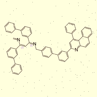 C=N/C(=C\C(=N/Cc1ccc(-c2cccc(-c3cc(-c4ccccc4)c4c(ccc5ccccc54)n3)c2)cc1)c1cccc(-c2ccccc2)c1)c1cccc(-c2ccccc2)c1